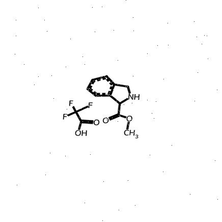 COC(=O)C1NCc2ccccc21.O=C(O)C(F)(F)F